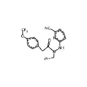 CC(C)CN(Nc1ccnc(C#N)n1)C(=O)Cc1ccc(OC(F)(F)F)cc1